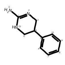 NC1=NCC(c2ccccc2)CN1